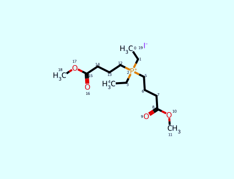 CC[P+](CC)(CCCC(=O)OC)CCCC(=O)OC.[I-]